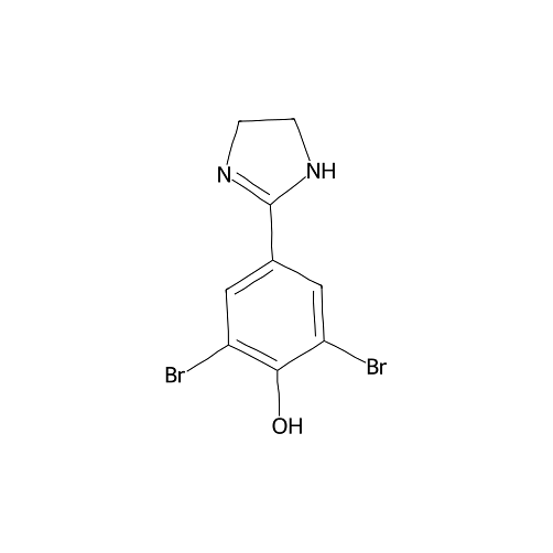 Oc1c(Br)cc(C2=NCCN2)cc1Br